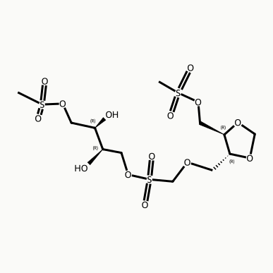 CS(=O)(=O)OC[C@@H](O)[C@H](O)COS(=O)(=O)COC[C@H]1OCO[C@@H]1COS(C)(=O)=O